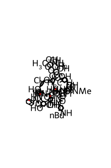 CCCCNc1ccc(NC(=O)NC(=O)C[C@@H]2NC(=O)[C@H](NC(=O)[C@@H](CCC)NC)[C@H](O)c3ccc(c(C)c3)Oc3cc4cc(c3O[C@@H]3O[C@H](CO)[C@@H](O)[C@H](O)[C@H]3O[C@H]3C[C@](C)(N)[C@H](O)[C@H](C)O3)Oc3ccc(cc3Cl)[C@@H](O)[C@@H]3NC(=O)[C@H](NC(=O)[C@@H]4NC2=O)c2ccc(O)c(c2)-c2c(C)cc(O)cc2[C@@H](C(=O)NC2C4CC5CC(C4)CC2C5)NC3=O)cc1